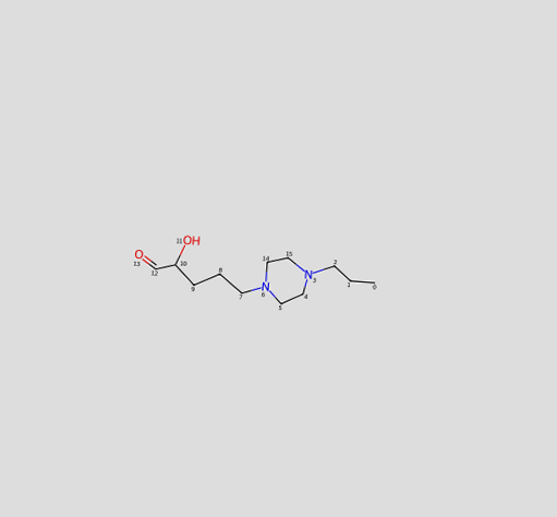 CCCN1CCN(CCCC(O)C=O)CC1